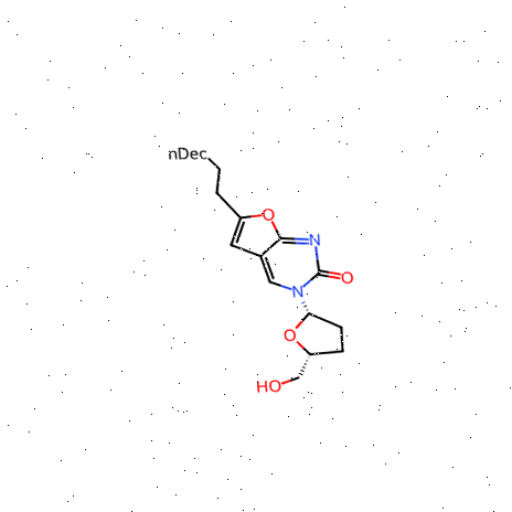 CCCCCCCCCCCCc1cc2cn([C@@H]3CC[C@H](CO)O3)c(=O)nc2o1